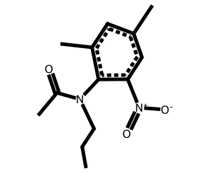 CCCN(C(C)=O)c1c(C)cc(C)cc1[N+](=O)[O-]